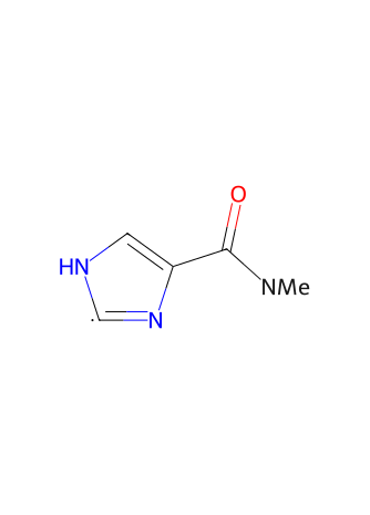 CNC(=O)c1c[nH][c]n1